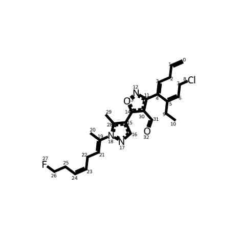 C=CC/C=C(\C(=C/CCl)CC)c1noc(-c2cnn(/C(C)=C/C/C=C\CCF)c2C)c1C=O